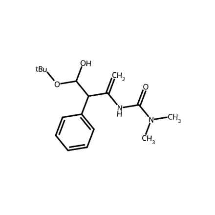 C=C(NC(=O)N(C)C)C(c1ccccc1)C(O)OC(C)(C)C